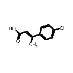 C/C(=C\C(=O)O)c1ccc(Cl)cc1